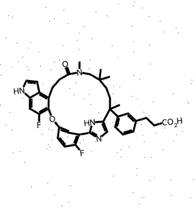 CN1CC(C)(C)CCC(C)(c2cccc(CCC(=O)O)c2)c2cnc([nH]2)-c2cc(ccc2F)Oc2c(F)cc3[nH]ccc3c2CCC1=O